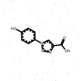 O=C(O)c1cn(-c2ccc(O)cc2)nn1